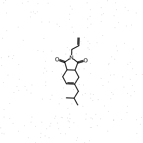 C=CCN1C(=O)C2CC=C(CC(C)C)CC2C1=O